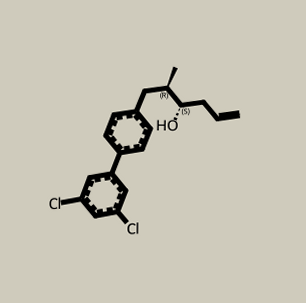 C=CC[C@H](O)[C@H](C)Cc1ccc(-c2cc(Cl)cc(Cl)c2)cc1